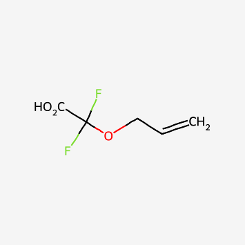 C=CCOC(F)(F)C(=O)O